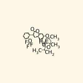 C=C(C)C(=O)OC(C)(C)CC(C)(C)Oc1ccc2cc(-c3ccccc3OC(F)(F)F)c(=O)oc2c1